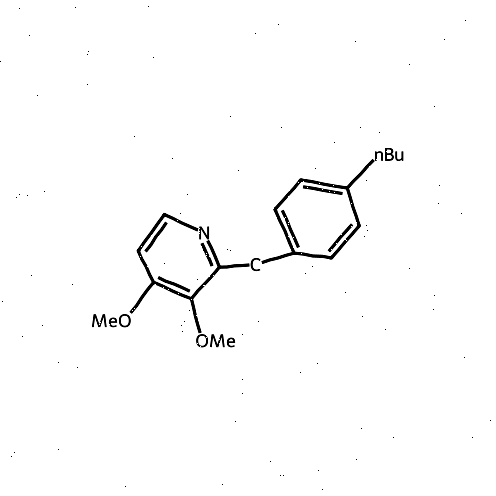 CCCCc1ccc(Cc2nccc(OC)c2OC)cc1